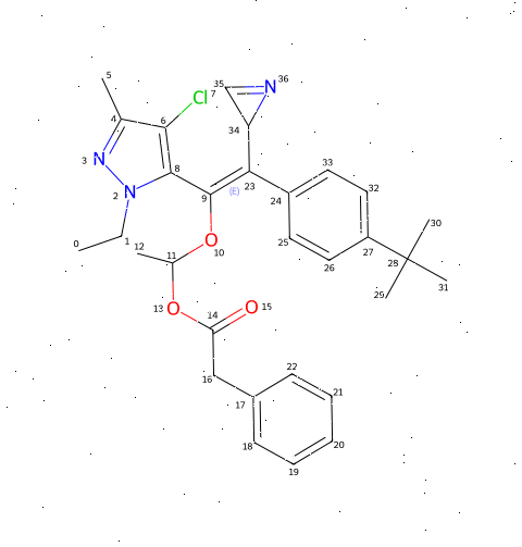 CCn1nc(C)c(Cl)c1/C(OC(C)OC(=O)Cc1ccccc1)=C(/c1ccc(C(C)(C)C)cc1)C1C=N1